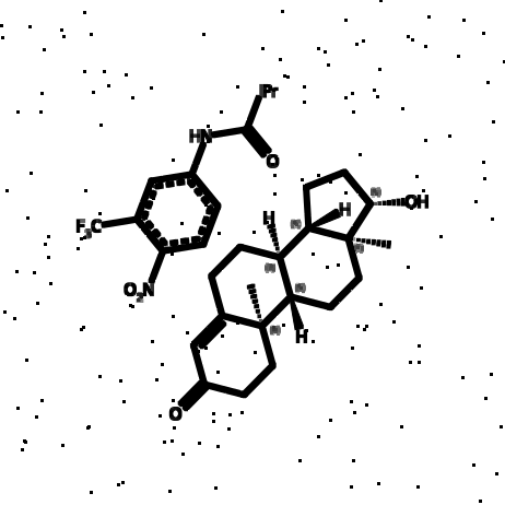 CC(C)C(=O)Nc1ccc([N+](=O)[O-])c(C(F)(F)F)c1.C[C@]12CC[C@H]3[C@@H](CCC4=CC(=O)CC[C@@]43C)[C@@H]1CC[C@@H]2O